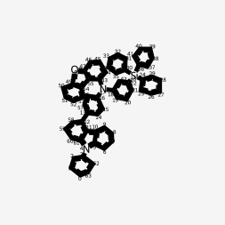 c1ccc(-n2c3ccccc3c3c(-c4ccc(N(c5cccc([Si](c6ccccc6)(c6ccccc6)c6ccccc6)c5)c5cccc6oc7ccccc7c56)cc4)cccc32)cc1